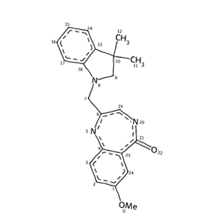 COc1ccc2nc(CN3CC(C)(C)c4ccccc43)cnc(=O)c2c1